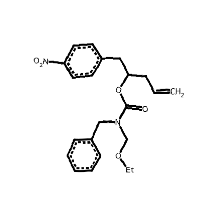 C=CCC(Cc1ccc([N+](=O)[O-])cc1)OC(=O)N(COCC)Cc1ccccc1